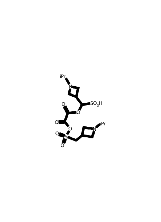 CC(C)N1CC(CS(=O)(=O)OC(=O)C(=O)OC(C2CN(C(C)C)C2)S(=O)(=O)O)C1